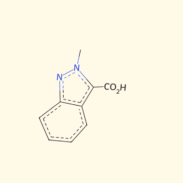 Cn1nc2ccccc2c1C(=O)O